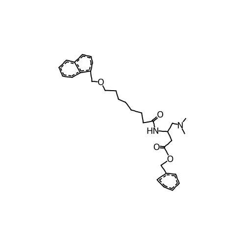 CN(C)CC(CC(=O)OCc1ccccc1)NC(=O)CCCCCCCOCc1cccc2ccccc12